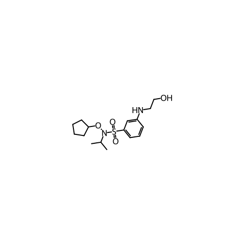 CC(C)N(OC1CCCC1)S(=O)(=O)c1cccc(NCCO)c1